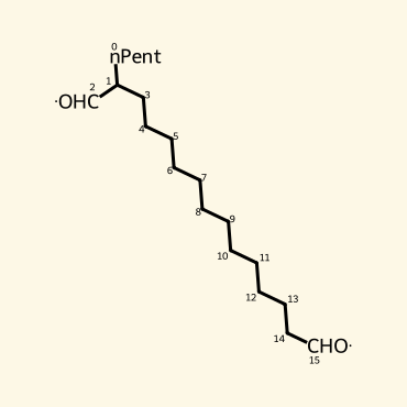 CCCCCC([C]=O)CCCCCCCCCCCC[C]=O